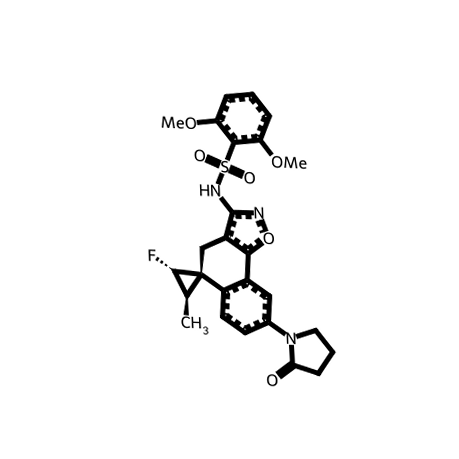 COc1cccc(OC)c1S(=O)(=O)Nc1noc2c1C[C@@]1(c3ccc(N4CCCC4=O)cc3-2)[C@@H](C)[C@@H]1F